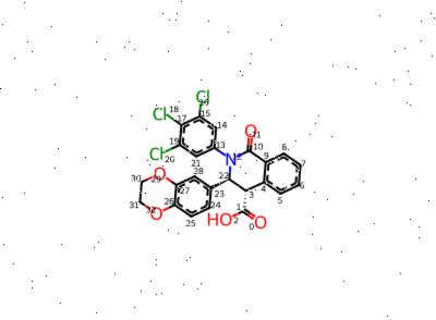 O=C(O)[C@H]1c2ccccc2C(=O)N(c2cc(Cl)c(Cl)c(Cl)c2)[C@@H]1c1ccc2c(c1)OCCO2